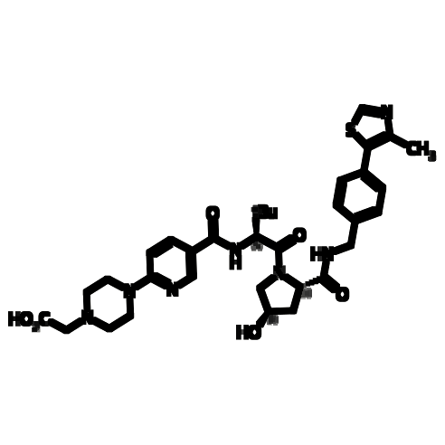 Cc1ncsc1-c1ccc(CNC(=O)[C@@H]2C[C@@H](O)CN2C(=O)[C@@H](NC(=O)c2ccc(N3CCN(CC(=O)O)CC3)nc2)C(C)(C)C)cc1